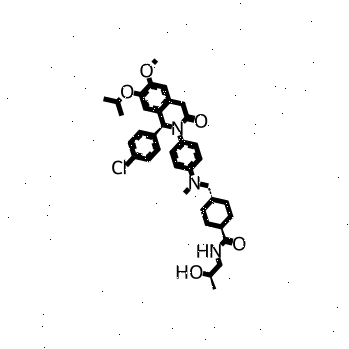 COc1cc2c(cc1OC(C)C)[C@H](c1ccc(Cl)cc1)N(c1ccc(N(C)C[C@H]3CC[C@H](C(=O)NC[C@@H](C)O)CC3)cc1)C(=O)C2